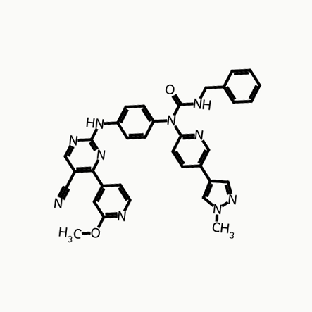 COc1cc(-c2nc(Nc3ccc(N(C(=O)NCc4ccccc4)c4ccc(-c5cnn(C)c5)cn4)cc3)ncc2C#N)ccn1